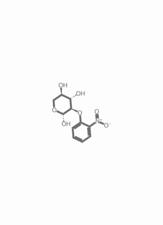 O=[N+]([O-])c1ccccc1O[C@@H]1[C@@H](O)[C@H](O)CO[C@H]1O